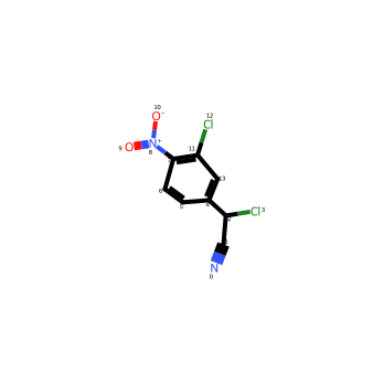 N#CC(Cl)c1ccc([N+](=O)[O-])c(Cl)c1